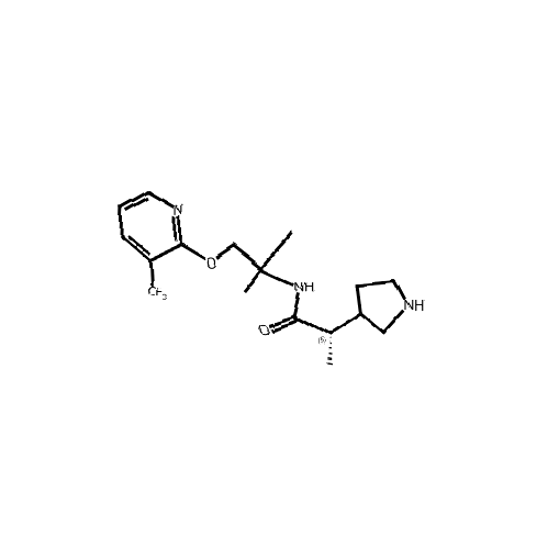 C[C@H](C(=O)NC(C)(C)COc1ncccc1C(F)(F)F)C1CCNC1